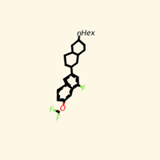 CCCCCCC1CCC2CC(c3cc(F)c4cc(OC(F)F)ccc4c3)CCC2C1